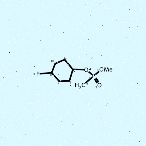 COP(C)(=O)OC1CCC(F)CC1